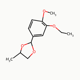 CCOc1cc(C2OCC(C)O2)ccc1OC